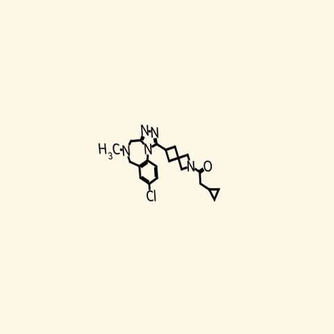 CN1Cc2cc(Cl)ccc2-n2c(nnc2C2CC3(C2)CN(C(=O)CC2CC2)C3)C1